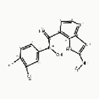 CCNc1nc2nccc(C(=N)N(O)c3ccc(F)c(Cl)c3)c2[nH]1